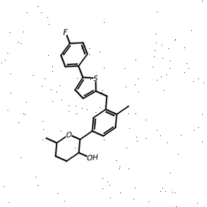 Cc1ccc(C2OC(C)CCC2O)cc1Cc1ccc(-c2ccc(F)cc2)s1